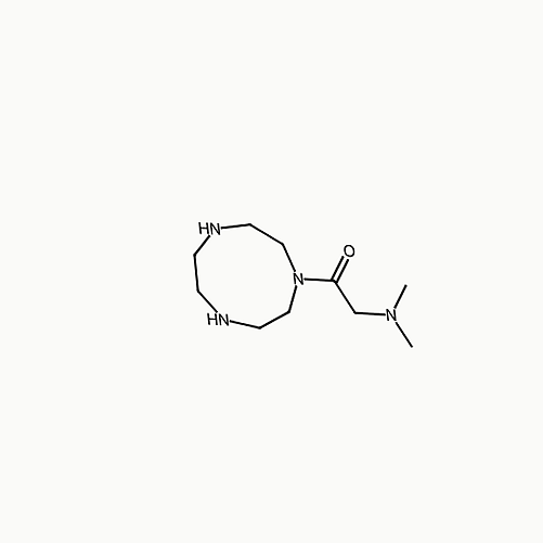 CN(C)CC(=O)N1CCNCCNCC1